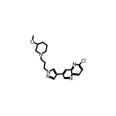 COC1CCCN(CCCn2cc(-c3cnc4ccc(Cl)nc4c3)cn2)C1